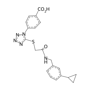 O=C(CSc1nnnn1-c1ccc(C(=O)O)cc1)NCc1cccc(C2CC2)c1